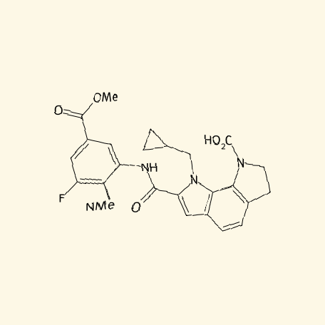 CNc1c(F)cc(C(=O)OC)cc1NC(=O)c1cc2ccc3c(c2n1CC1CC1)N(C(=O)O)CC3